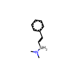 CN(C)[SiH2]C=Cc1ccccc1